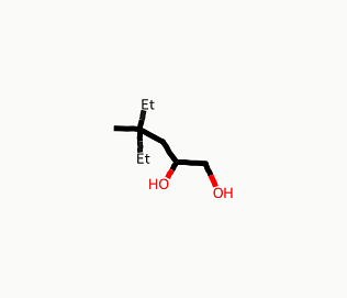 CCC(C)(CC)CC(O)CO